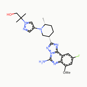 COc1cc(F)cc2c1nc(N)n1nc([C@H]3CC[C@@H](C)N(c4cnn(C(C)(C)CO)c4)C3)nc21